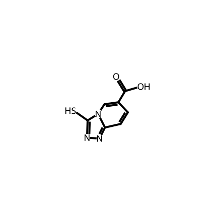 O=C(O)c1ccc2nnc(S)n2c1